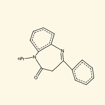 CCCN1C(=O)CC(c2ccccc2)=Nc2ccccc21